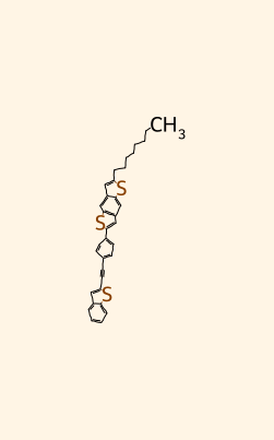 CCCCCCCCc1cc2cc3sc(-c4ccc(C#Cc5cc6ccccc6s5)cc4)cc3cc2s1